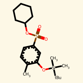 Cc1ccc(S(=O)(=O)OC2CCCCC2)cc1O[Si](C)(C)C(C)(C)C